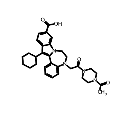 CC(=O)N1CCN(C(=O)CN2CCn3c(c(C4CCCCC4)c4ccc(C(=O)O)cc43)-c3ccccc32)CC1